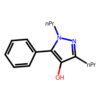 CCCc1nn(CCC)c(-c2ccccc2)c1O